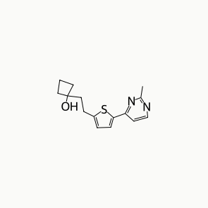 Cc1nccc(-c2ccc(CCC3(O)CCC3)s2)n1